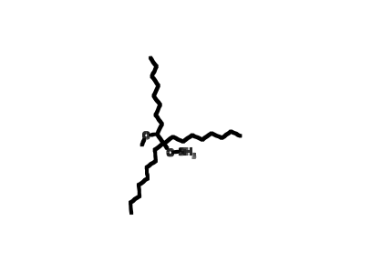 CCCCCCCCC(OC)C(CCCCCCCC)(CCCCCCCC)O[SiH3]